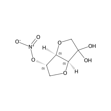 O=[N+]([O-])O[C@H]1CO[C@H]2[C@@H]1OCC2(O)O